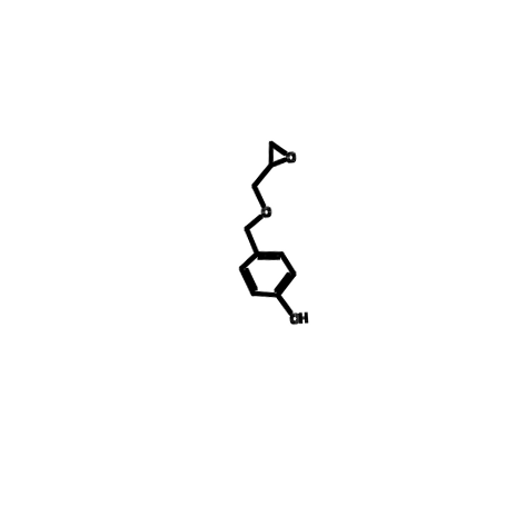 Oc1ccc(COCC2CO2)cc1